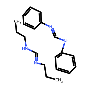 C(=Nc1ccccc1)Nc1ccccc1.CCCN=CNCCC